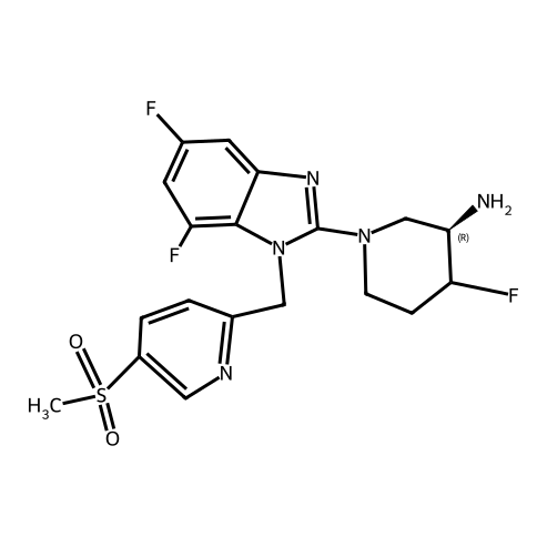 CS(=O)(=O)c1ccc(Cn2c(N3CCC(F)[C@H](N)C3)nc3cc(F)cc(F)c32)nc1